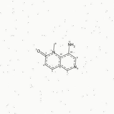 Cn1c(=O)ccc2cncc(N)c21